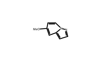 COc1ccn2nc[c]c2c1